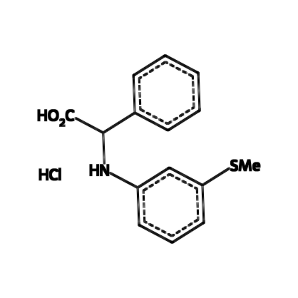 CSc1cccc(NC(C(=O)O)c2ccccc2)c1.Cl